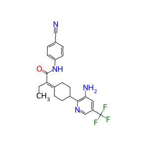 CCC(C(=O)Nc1ccc(C#N)cc1)=C1CCC(c2ncc(C(F)(F)F)cc2N)CC1